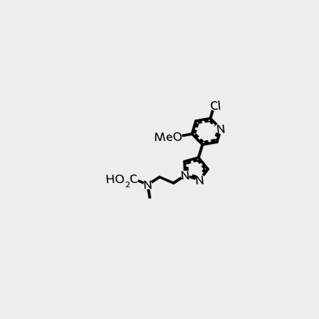 COc1cc(Cl)ncc1-c1cnn(CCN(C)C(=O)O)c1